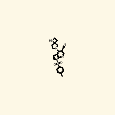 Cc1ccc(S(=O)(=O)n2ccc3c(N4CCC5(CCN5)C4)c(C#N)cnc32)cc1